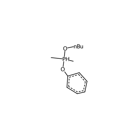 CCCCO[PH](C)(C)Oc1ccccc1